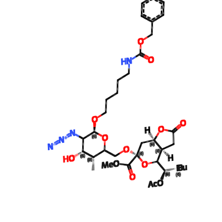 CC[C@@H](C)[C@@H](OC(C)=O)C1O[C@@](OCC2O[C@H](OCCCCCNC(=O)OCc3ccccc3)C(N=[N+]=[N-])[C@@H](O)[C@H]2C)(C(=O)OC)C[C@H]2OC(=O)C[C@@H]12